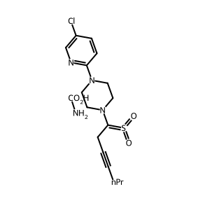 CCCC#CCC(N1CCN(c2ccc(Cl)cn2)CC1)=S(=O)=O.NC(=O)O